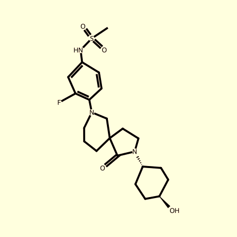 CS(=O)(=O)Nc1ccc(N2CCCC3(CCN([C@H]4CC[C@H](O)CC4)C3=O)C2)c(F)c1